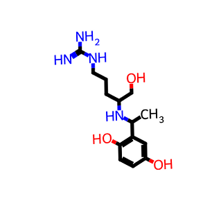 CC(NC(CO)CCCNC(=N)N)c1cc(O)ccc1O